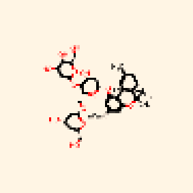 CCCCCc1cc(O[C@H]2C[C@@H](O)[C@H](O[C@H]3C[C@@H](O)[C@H](O)[C@@H](CO)O3)[C@@H](CO[C@H]3C[C@@H](O)C[C@@H](CO)O3)O2)c2c(c1)OC(C)(C)[C@@H]1CCC(C)=C[C@@H]21